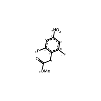 COC(=O)Cc1c(F)cc([N+](=O)[O-])cc1F